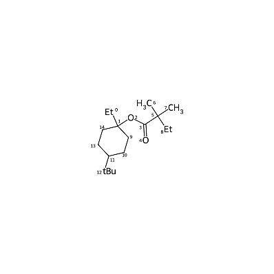 CCC1(OC(=O)C(C)(C)CC)CCC(C(C)(C)C)CC1